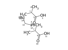 CC(C)C(=O)O.CC(C)C(=O)O.CC(C)CC(C)(C)C